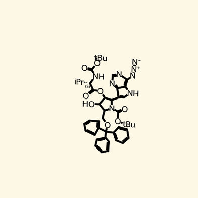 CC(C)[C@H](NC(=O)OC(C)(C)C)C(=O)OC1C(O)C(COC(c2ccccc2)(c2ccccc2)c2ccccc2)N(C(=O)OC(C)(C)C)C1c1c[nH]c2c(N=[N+]=[N-])ncnc12